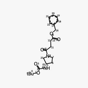 CC(C)(C)OC(=O)N[C@H]1CCN(C(=O)CCC(=O)OCc2ccccc2)C1